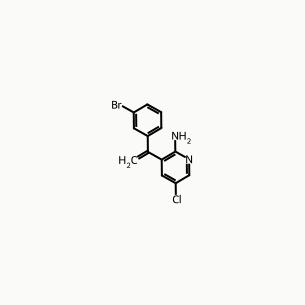 C=C(c1cccc(Br)c1)c1cc(Cl)cnc1N